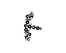 COC(=O)NC(C(=O)N1CCC[C@H]1c1nc2cc([C@H]3CC[C@H](c4ccc5[nH]c([C@@H]6CCCN6C(=O)[C@@H](NC(=O)OC)C(C)C)nc5c4)N3c3cc(F)c(N4CCC(c5ccc(S(C)(C)C)cc5)CC4)c(F)c3)ccc2[nH]1)C(C)C